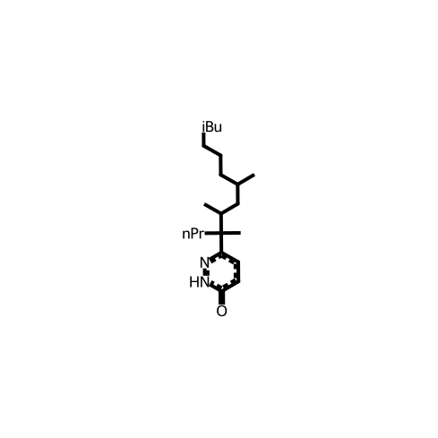 CCCC(C)(c1ccc(=O)[nH]n1)C(C)CC(C)CCCC(C)CC